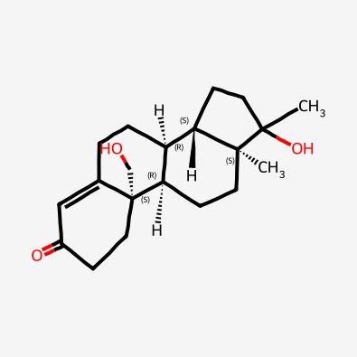 CC1(O)CC[C@H]2[C@@H]3CCC4=CC(=O)CC[C@]4(CO)[C@@H]3CC[C@@]21C